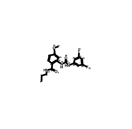 CCCNC(=O)c1ccc(OC)cc1NC(=O)Nc1cc(F)cc(F)c1